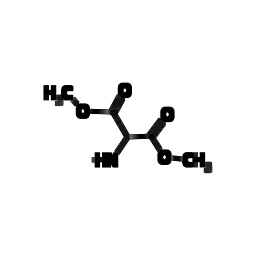 COC(=O)C([NH])C(=O)OC